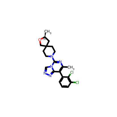 Cc1nc(N2CCC3(CC2)CO[C@@H](C)C3)n2cnnc2c1-c1cccc(Cl)c1Cl